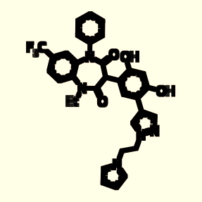 CCN1C(=O)C(c2cc(-c3cnn(CCn4cccc4)c3)c(O)cc2O)C(=O)N(c2ccccc2)c2cc(C(F)(F)F)ccc21